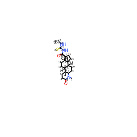 CN1C(=O)CC[C@@]2(C)C1CC[C@@H]1[C@H]2CC[C@]2(C)C(C(=O)NC(=S)NC(C)(C)C)CC[C@@H]12